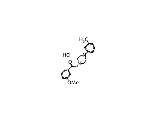 COc1cccc(C(=O)CN2CCN(c3cccc(C)c3)CC2)c1.Cl